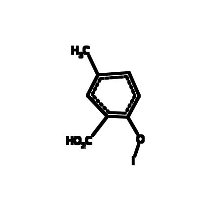 Cc1ccc(OI)c(C(=O)O)c1